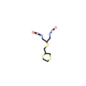 O=C=NCC(CN=C=O)SCC1CSCCS1